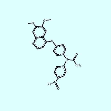 COc1cc2nccc(Oc3ccc(N(C(N)=O)c4ccc([N+](=O)[O-])cc4)cc3)c2cc1OC